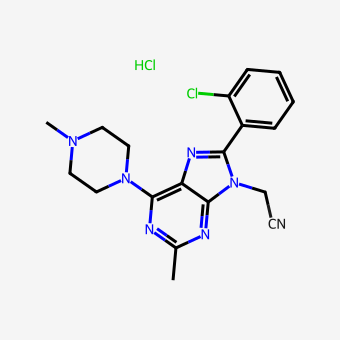 Cc1nc(N2CCN(C)CC2)c2nc(-c3ccccc3Cl)n(CC#N)c2n1.Cl